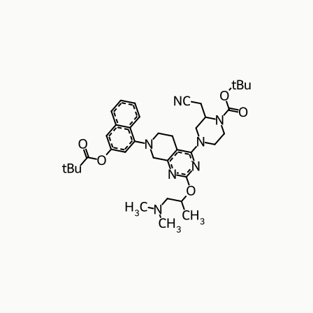 CC(CN(C)C)Oc1nc2c(c(N3CCN(C(=O)OC(C)(C)C)C(CC#N)C3)n1)CCN(c1cc(OC(=O)C(C)(C)C)cc3ccccc13)C2